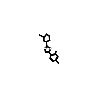 Cc1ccc(-c2cnc(C3CCCC(C)C3)s2)c(C)c1